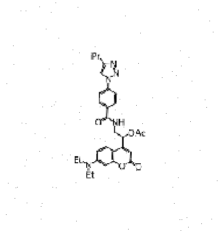 CCN(CC)c1ccc2c(C(CNC(=O)c3ccc(-n4cc(C(C)C)nn4)cc3)OC(C)=O)cc(=O)oc2c1